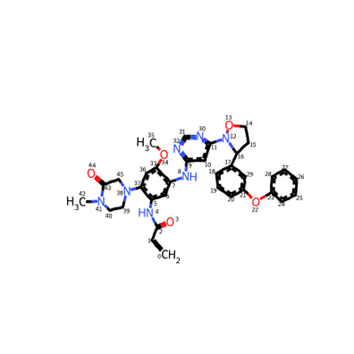 C=CC(=O)Nc1cc(Nc2cc(N3OCCC3c3cccc(Oc4ccccc4)c3)ncn2)c(OC)cc1N1CCN(C)C(=O)C1